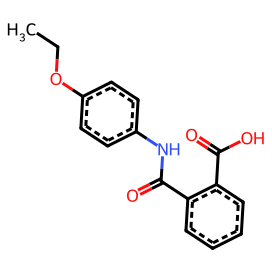 CCOc1ccc(NC(=O)c2ccccc2C(=O)O)cc1